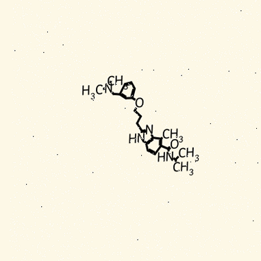 Cc1c(C(=O)NC(C)C)ccc2[nH]c(CCCOc3cccc(CN(C)C)c3)nc12